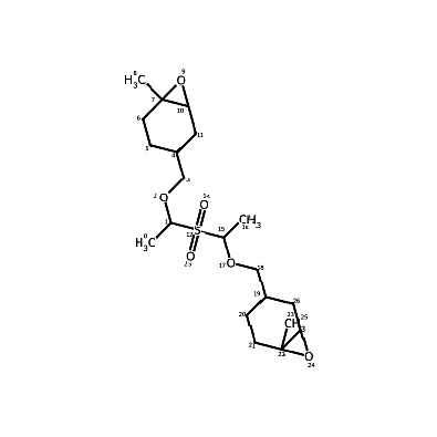 CC(OCC1CCC2(C)OC2C1)S(=O)(=O)C(C)OCC1CCC2(C)OC2C1